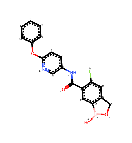 O=C(Nc1ccc(Oc2ccccc2)nc1)c1cc2c(cc1F)COB2O